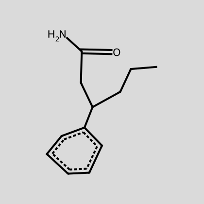 CCCC(CC(N)=O)c1ccccc1